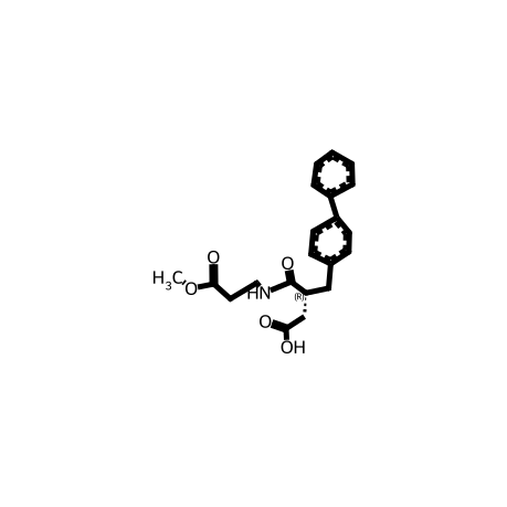 COC(=O)CCNC(=O)[C@@H](CC(=O)O)Cc1ccc(-c2ccccc2)cc1